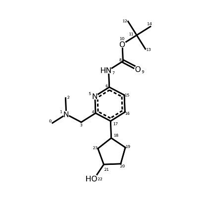 CN(C)Cc1nc(NC(=O)OC(C)(C)C)ccc1C1CCC(O)C1